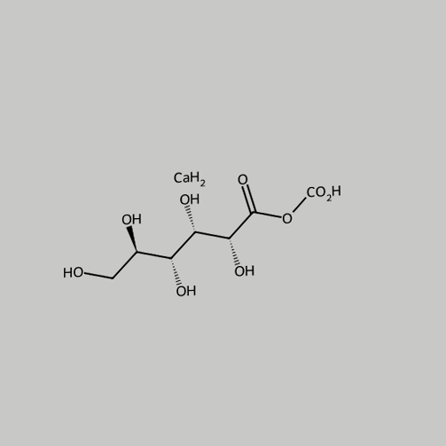 O=C(O)OC(=O)[C@H](O)[C@@H](O)[C@H](O)[C@H](O)CO.[CaH2]